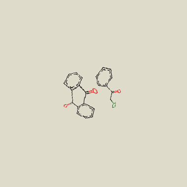 O=C(CCl)c1ccccc1.O=C1c2ccccc2C(=O)c2ccccc21